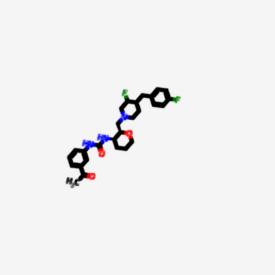 CC(=O)c1cccc(NC(=O)N[C@@H]2CCCO[C@@H]2CN2CCC(Cc3ccc(F)cc3)C(F)C2)c1